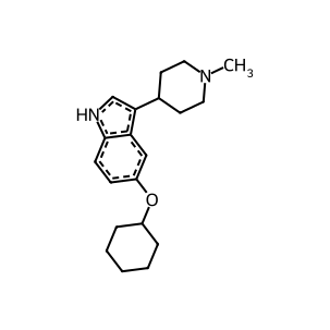 CN1CCC(c2c[nH]c3ccc(OC4CCCCC4)cc23)CC1